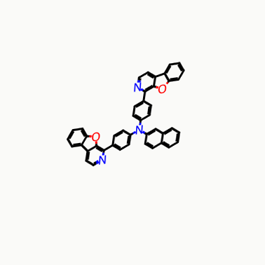 c1ccc2cc(N(c3ccc(-c4nccc5c4oc4ccccc45)cc3)c3ccc(-c4nccc5c4oc4ccccc45)cc3)ccc2c1